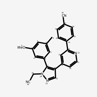 COc1cc(C)cc(-c2c(-c3ccnc(-c4ccc(C#N)cc4)c3)cnn2CC#N)c1